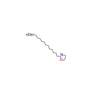 CCCCCCCCCCCCCCCCCCCCCCC1=NCCCO1